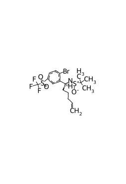 C=CCCC[C@H](N[S+]([O-])C(C)(C)C)c1cc(S(=O)(=O)C(F)(F)F)ccc1Br